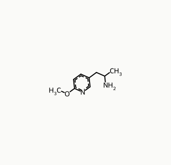 COc1ccc(CC(C)N)cn1